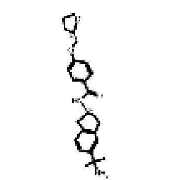 CC(C)(N)c1ccc2c(c1)CC[C@H](NC(=O)c1ccc(OC[C@@H]3CCCO3)cc1)C2